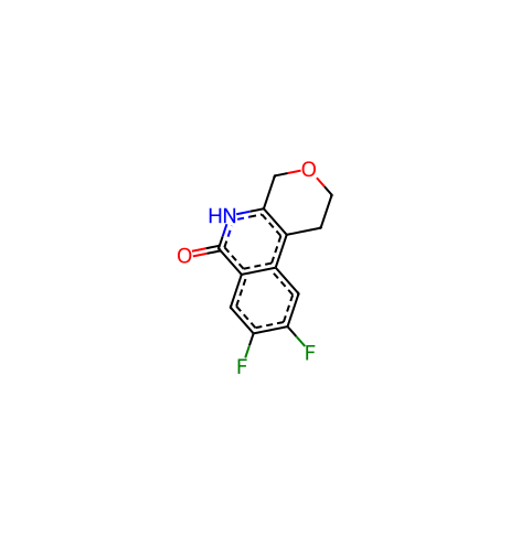 O=c1[nH]c2c(c3cc(F)c(F)cc13)CCOC2